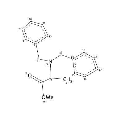 COC(=O)C(C)N(Cc1ccccc1)Cc1ccccc1